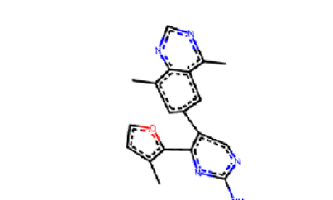 Cc1ccoc1-c1nc(N)ncc1-c1cc(C)c2ncnc(C)c2c1